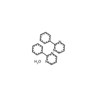 O.c1ccc(-c2ncccn2)cc1.c1ccc(-c2ncccn2)cc1